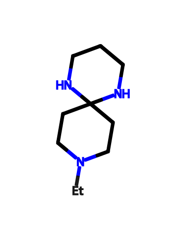 CCN1CCC2(CC1)NCCCN2